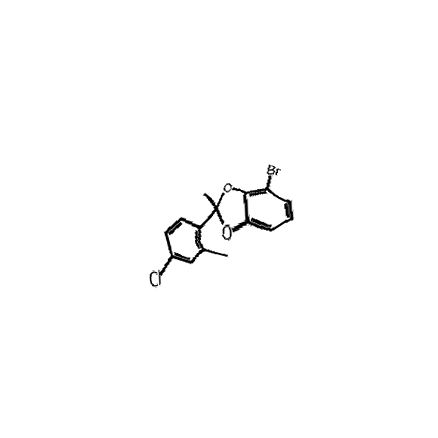 Cc1cc(Cl)ccc1C1(C)Oc2cccc(Br)c2O1